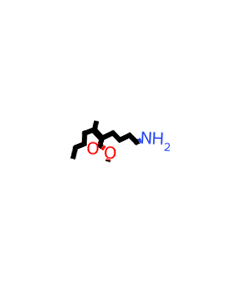 CCCCC(C)=C(CCCCN)C(=O)OC